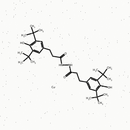 CC(C)(C)c1cc(CCC(=O)NNC(=O)CCc2cc(C(C)(C)C)c(O)c(C(C)(C)C)c2)cc(C(C)(C)C)c1O.[Cu]